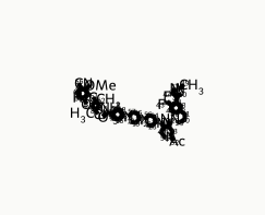 COc1cc(OC2C(C)(C)C(NC(=O)c3ccc(N4CCC(N5CCC(n6nc(N7CCCc8cc(-c9cnn(C)c9)c(C(F)F)cc87)c7c6CCN(C(C)=O)C7)CC5)CC4)cc3)C2(C)C)ccc1C#N